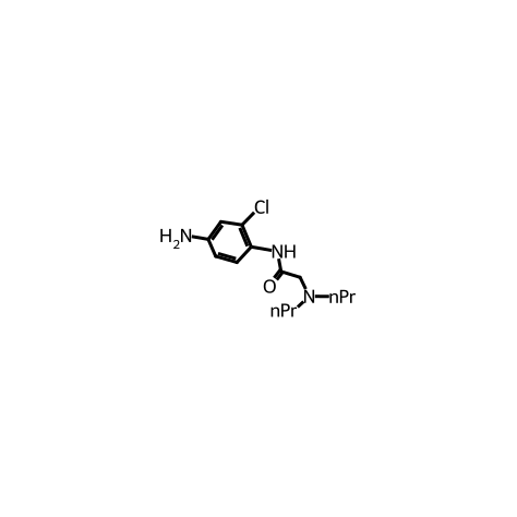 CCCN(CCC)CC(=O)Nc1ccc(N)cc1Cl